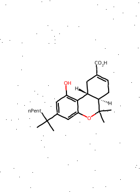 CCCCCC(C)(C)c1cc(O)c2c(c1)OC(C)(C)[C@@H]1CC=C(C(=O)O)C[C@@H]21